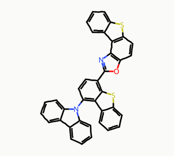 c1ccc2c(c1)sc1c(-c3nc4c(ccc5sc6ccccc6c54)o3)ccc(-n3c4ccccc4c4ccccc43)c12